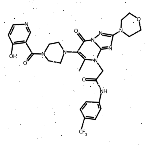 Cc1c(N2CCN(C(=O)c3cnccc3O)CC2)c(=O)n2nc(N3CCOCC3)nc2n1CC(=O)Nc1ccc(C(F)(F)F)cc1